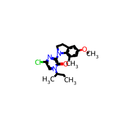 CCC(C)n1cc(Cl)nc(N2CCc3cc(OC)cc(C)c32)c1=O